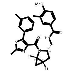 COc1ccc(C(=O)NC[C@@H]2C[C@@H]3C[C@@H]3N2C(=O)c2nc(C)sc2-c2cccc(C)c2)cc1C